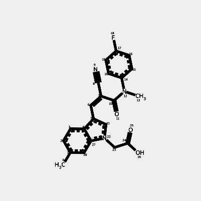 Cc1ccc2c(C=C(C#N)C(=O)N(C)c3ccc(F)cc3)cn(CC(=O)O)c2c1